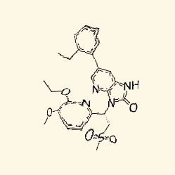 CCOc1nc([C@@H](CS(C)(=O)=O)n2c(=O)[nH]c3cc(-c4ccccc4CC)cnc32)ccc1OC